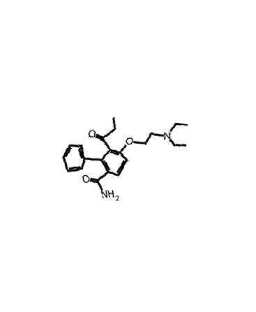 CCC(=O)c1c(OCCN(CC)CC)ccc(C(N)=O)c1-c1ccccc1